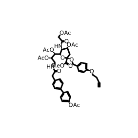 C#CCCOc1ccc(CO[C@]2(C(=O)OC)C[C@H](OC(C)=O)[C@@H](NC(=O)COC(C)=O)[C@H]([C@H](OC(C)=O)[C@@H](CNC(=O)Cc3ccc(-c4ccc(OC(C)=O)cc4)cc3)OC(C)=O)O2)cc1